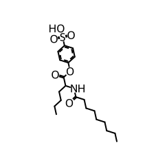 CCCCCCCCC(=O)NC(CCCC)C(=O)Oc1ccc(S(=O)(=O)O)cc1